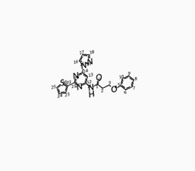 O=C(CCOc1ccccc1)Nc1cc(-n2cccn2)nc(-c2cccs2)n1